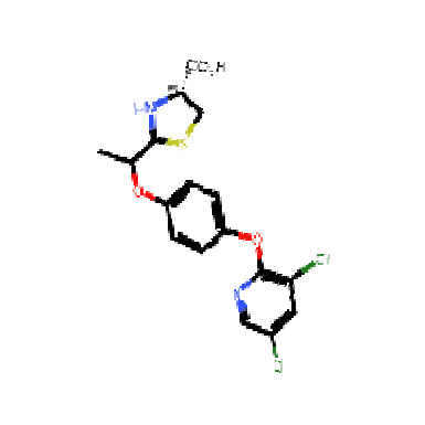 CC(Oc1ccc(Oc2ncc(Cl)cc2Cl)cc1)C1N[C@H](C(=O)O)CS1